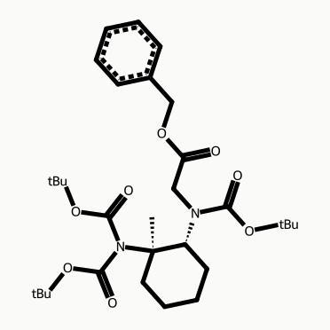 CC(C)(C)OC(=O)N(CC(=O)OCc1ccccc1)[C@@H]1CCCC[C@@]1(C)N(C(=O)OC(C)(C)C)C(=O)OC(C)(C)C